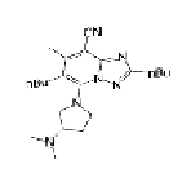 CCCCc1nc2c(C#N)c(C)c(CCCC)c(N3CC[C@H](N(C)C)C3)n2n1